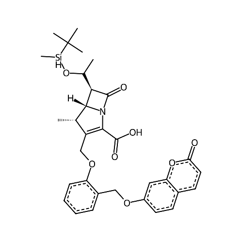 CC(O[SiH](C)C(C)(C)C)[C@H]1C(=O)N2C(C(=O)O)=C(COc3ccccc3COc3ccc4ccc(=O)oc4c3)[C@H](C)[C@H]12